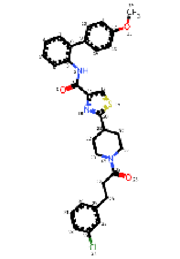 O=C(Nc1ccccc1-c1ccc(OC(F)(F)F)cc1)c1csc(C2CCN(C(=O)CCc3cccc(Cl)c3)CC2)n1